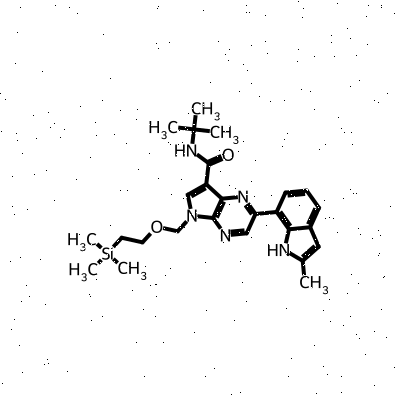 Cc1cc2cccc(-c3cnc4c(n3)c(C(=O)NC(C)(C)C)cn4COCC[Si](C)(C)C)c2[nH]1